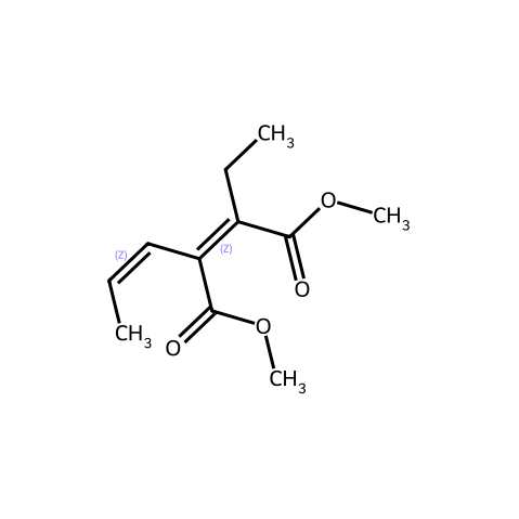 C/C=C\C(C(=O)OC)=C(/CC)C(=O)OC